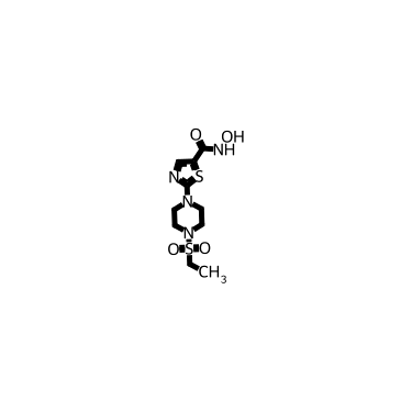 CCS(=O)(=O)N1CCN(c2ncc(C(=O)NO)s2)CC1